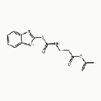 C=C(C)OC(=O)CCNC(=O)Sc1nc2ccccc2[nH]1